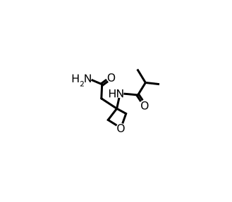 CC(C)C(=O)NC1(CC(N)=O)COC1